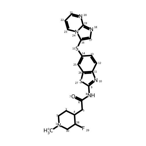 CN1CCC(CC(=O)Nc2nc3ccc(Sc4cnc5ncccn45)cc3s2)C(F)C1